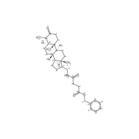 CN1C(=O)CC[C@]2(C)[C@H]3CC[C@]4(C)C(CNC(=O)CCC(=O)OCc5ccccc5)CC[C@H]4[C@@H]3CC[C@@H]12